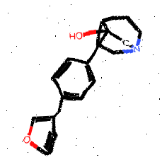 OC1(c2ccc(-c3ccoc3)cc2)CN2CCC1CC2